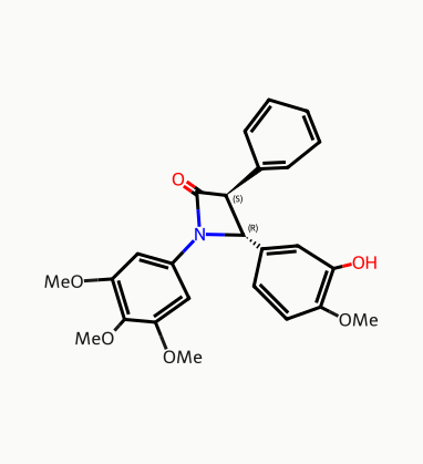 COc1ccc([C@H]2[C@H](c3ccccc3)C(=O)N2c2cc(OC)c(OC)c(OC)c2)cc1O